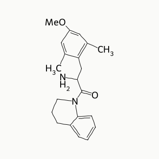 COc1cc(C)c(CC(N)C(=O)N2CCCc3ccccc32)c(C)c1